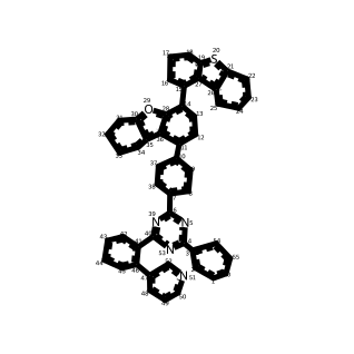 c1ccc(-c2nc(-c3ccc(-c4ccc(-c5cccc6sc7ccccc7c56)c5oc6ccccc6c45)cc3)nc(-c3ccccc3-c3cccnc3)n2)cc1